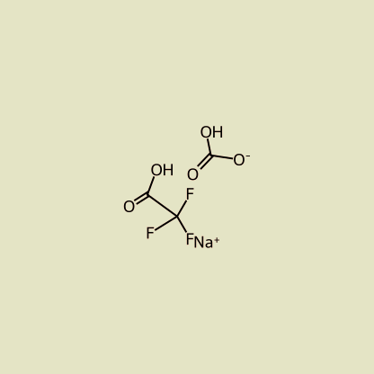 O=C(O)C(F)(F)F.O=C([O-])O.[Na+]